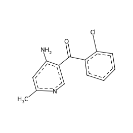 Cc1cc(N)c(C(=O)c2ccccc2Cl)cn1